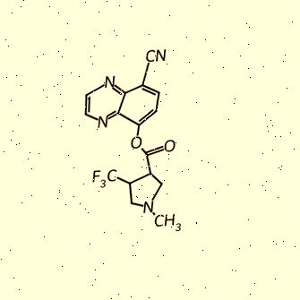 CN1CC(C(=O)Oc2ccc(C#N)c3nccnc23)C(C(F)(F)F)C1